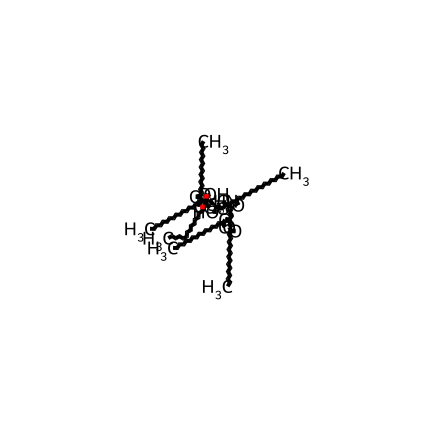 CCCCCCCCCCCCCCCC(=O)NC(CSCC(COC(=O)CCCCCCCCCCCCCCC)OC(=O)CCCCCCCCCCCCCCC)C(=O)O[C@H](CO)CSC[C@](C(=O)O)(C(=O)CCCCCCCCCCCCCCC)N(C(=O)CCCCCCCCCCCCCCC)C(=O)CCCCCCCCCCCCCCC